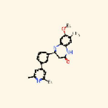 CCOc1cc2c(cc1C(F)(F)F)NC(=O)CC(c1cccc(-c3cc(C)nc(CC)c3)c1)=N2